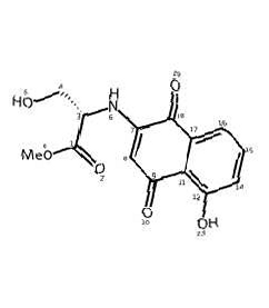 COC(=O)[C@H](CO)NC1=CC(=O)c2c(O)cccc2C1=O